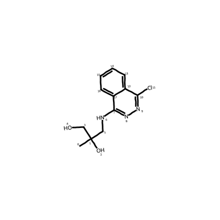 CC(O)(CO)CNc1nnc(Cl)c2ccccc12